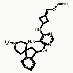 CN1CCC2(CC1)CC(Nc1ncnc(NC3CC(=COSN)C3)c1N)c1ccccc12